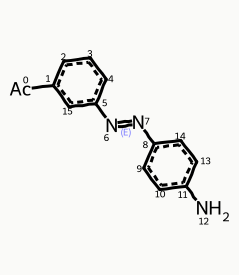 CC(=O)c1cccc(/N=N/c2ccc(N)cc2)c1